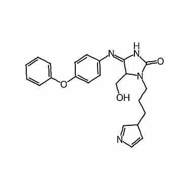 O=C1N/C(=N/c2ccc(Oc3ccccc3)cc2)C(CO)N1CCCC1C=CN=C1